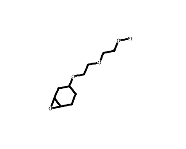 CCOCCOCCOC1CCC2OC2C1